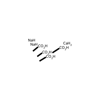 CC(=O)O.CC(=O)O.CC(=O)O.CC(=O)O.[CaH2].[NaH].[NaH]